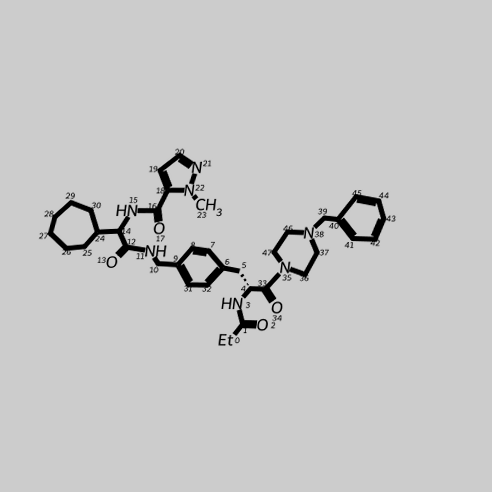 CCC(=O)N[C@H](Cc1ccc(CNC(=O)C(NC(=O)c2ccnn2C)C2CCCCCC2)cc1)C(=O)N1CCN(Cc2ccccc2)CC1